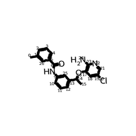 Cc1cccc(C(=O)Nc2cccc(C(C)Oc3cc(Cl)cnc3N)c2)c1